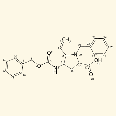 C=CC1C(NC(=O)OCc2ccccc2)CC(C(=O)O)N1Cc1ccccc1